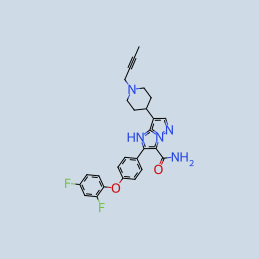 CC#CCN1CCC(c2cnn3c(C(N)=O)c(-c4ccc(Oc5ccc(F)cc5F)cc4)[nH]c23)CC1